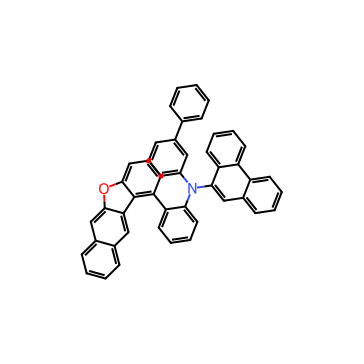 c1ccc(-c2cccc(N(c3ccccc3-c3cccc4oc5cc6ccccc6cc5c34)c3cc4ccccc4c4ccccc34)c2)cc1